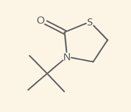 CC(C)(C)N1CCSC1=O